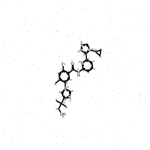 Cc1cc(F)c(C(=O)Nc2cccc(-c3nncn3C3CC3)n2)cc1-n1cnc(C(C)(C)CO)c1